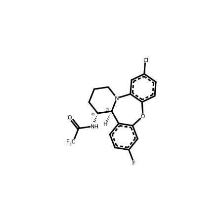 O=C(N[C@@H]1CCCN2c3cc(Cl)ccc3Oc3cc(F)ccc3[C@@H]12)C(F)(F)F